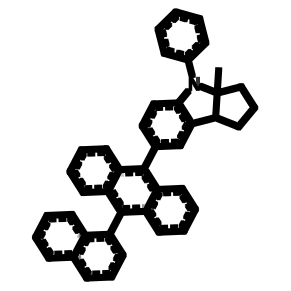 CC12CCCC1c1cc(-c3c4ccccc4c(-c4cccc5ccccc45)c4ccccc34)ccc1N2c1ccccc1